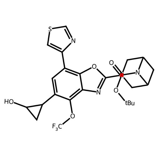 CC(C)(C)OC(=O)N1C2CC1CN(c1nc3c(OC(F)(F)F)c(C4CC4O)cc(-c4cscn4)c3o1)C2